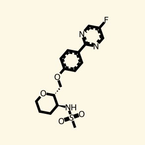 CS(=O)(=O)N[C@H]1CCCO[C@@H]1COc1ccc(-c2ncc(F)cn2)cc1